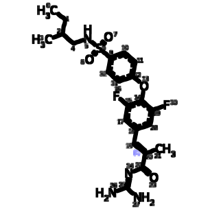 CCC(C)CNS(=O)(=O)c1ccc(Oc2c(F)cc(/C=C(\C)C(=O)N=C(N)N)cc2F)cc1